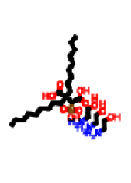 CCCCCCCCCC(CCCCCCCCC)(C(=O)O)C(C(=O)O)S(=O)(=O)O.NCCO.NCCO.NCCO